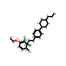 CCCC1CCC(c2ccc(CCC3(F)C(F)=C(OCC)C=CC3C)cc2)CC1